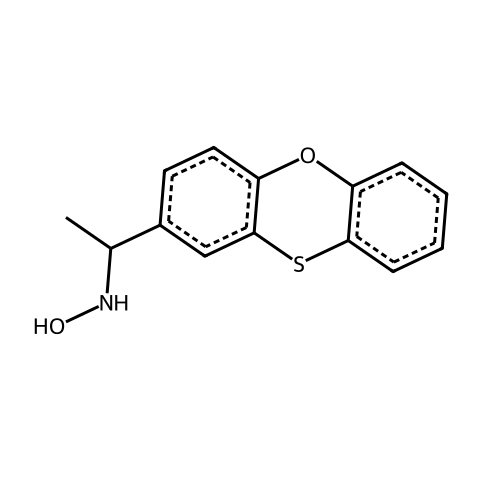 CC(NO)c1ccc2c(c1)Sc1ccccc1O2